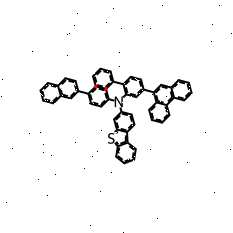 c1ccc(-c2ccc(-c3cc4ccccc4c4ccccc34)cc2N(c2ccc(-c3ccc4ccccc4c3)cc2)c2ccc3c(c2)sc2ccccc23)cc1